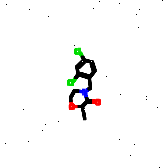 CC1OCCN(Cc2ccc(Cl)cc2Cl)C1=O